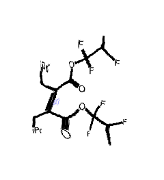 CC(C)C/C(C(=O)OC(F)(F)C(C)F)=C(\CC(C)C)C(=O)OC(F)(F)C(C)F